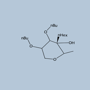 CCCCCC[C@@]1(O)C(C)OCC(OCCCC)C1OCCCC